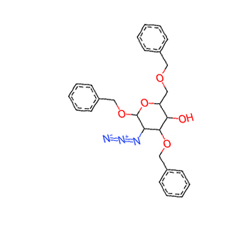 [N-]=[N+]=NC1C(OCc2ccccc2)OC(COCc2ccccc2)C(O)C1OCc1ccccc1